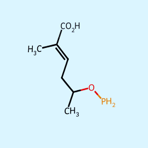 CC(=CCC(C)OP)C(=O)O